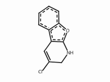 ClC1=Cc2c(oc3ccccc23)NC1